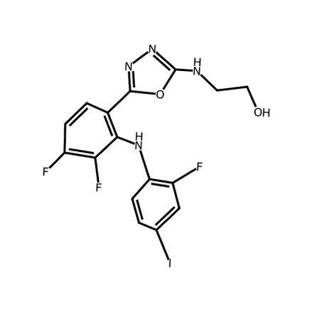 OCCNc1nnc(-c2ccc(F)c(F)c2Nc2ccc(I)cc2F)o1